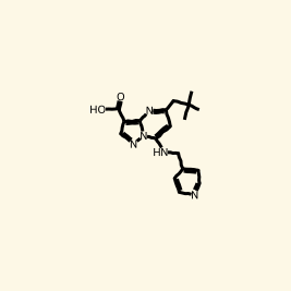 CC(C)(C)Cc1cc(NCc2ccncc2)n2ncc(C(=O)O)c2n1